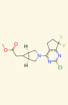 COC(=O)CC1[C@H]2CN(c3nc(Cl)nc4c3CCC4(F)F)C[C@@H]12